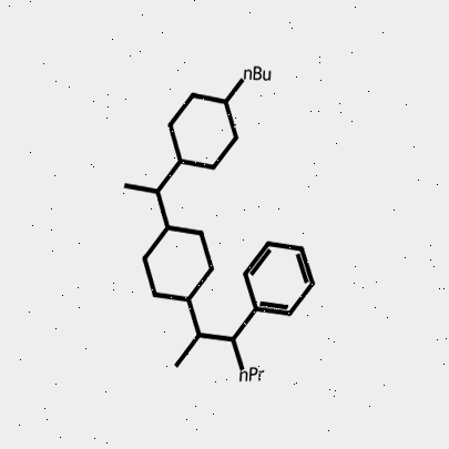 CCCCC1CCC(C(C)C2CCC(C(C)C(CCC)c3ccccc3)CC2)CC1